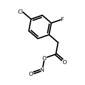 O=NOC(=O)Cc1ccc(Cl)cc1F